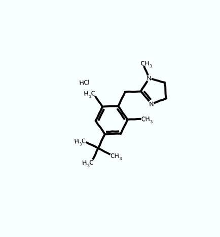 Cc1cc(C(C)(C)C)cc(C)c1CC1=NCCN1C.Cl